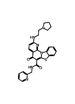 O=C(NCc1ccccn1)c1c(=O)c2ccc(NCCN3CCCC3)nc2n2c1sc1ccccc12